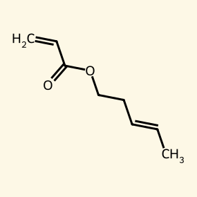 C=CC(=O)OCCC=CC